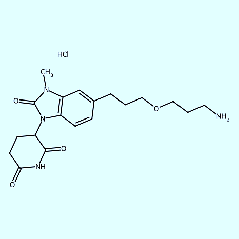 Cl.Cn1c(=O)n(C2CCC(=O)NC2=O)c2ccc(CCCOCCCN)cc21